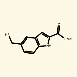 COC(=O)c1cc2cc(CS)ccc2[nH]1